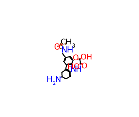 C[S+]([O-])NCc1ccc2[nH]c3c(c2c1)CC(N)CC3.O=C(O)C(=O)O